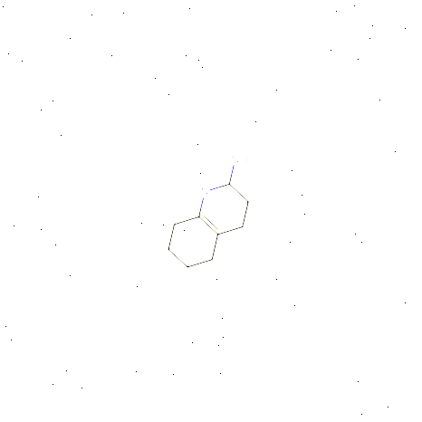 NC1CCC2=C(CCCC2)N1